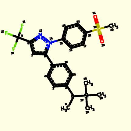 CC(c1ccc(-c2cc(C(F)(F)F)nn2-c2ccc(S(C)(=O)=O)cc2)cc1)[Si](C)(C)C